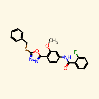 COc1cc(NC(=O)c2ccccc2F)ccc1-c1nnc(SCc2ccccc2)o1